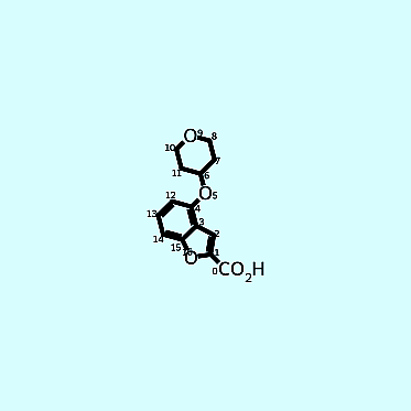 O=C(O)c1cc2c(OC3CCOCC3)cccc2o1